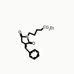 CCOC(=O)CCCCN1C(=O)CC(=Cc2ccccc2)C1=O